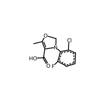 CC1=C(C(=O)O)N(c2c(F)cccc2Cl)CO1